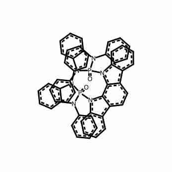 O=P1(n2c3ccccc3c3ccc4c5ccccc5n(P5(=O)N(c6ccccc6)c6ccccc6N5c5ccccc5)c4c32)N(c2ccccc2)c2ccccc2N1c1ccccc1